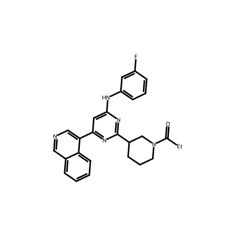 CCC(=O)N1CCCC(c2nc(Nc3cccc(F)c3)cc(-c3cncc4ccccc34)n2)C1